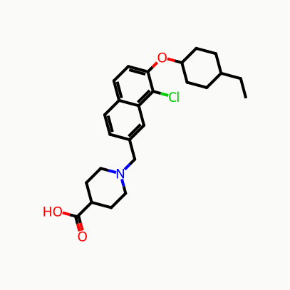 CCC1CCC(Oc2ccc3ccc(CN4CCC(C(=O)O)CC4)cc3c2Cl)CC1